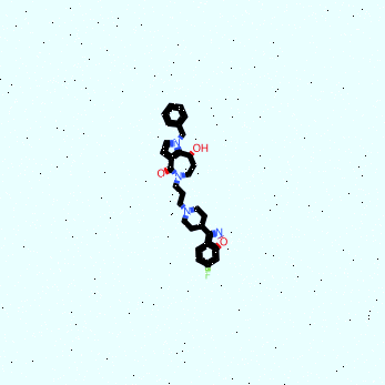 O=C1c2ccn(Cc3ccccc3)c2C(O)CCN1CCCN1CCC(c2noc3cc(F)ccc23)CC1